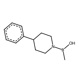 CB(O)N1CCC(c2ccccc2)CC1